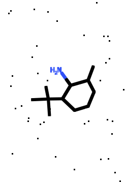 CC1CCCC(C(C)(C)C)C1N